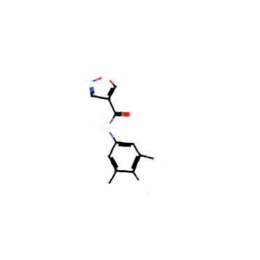 Cc1cc(NC(=O)c2cnoc2)cc(C(=O)O)c1C(F)(F)F